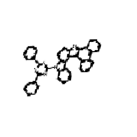 c1ccc(-c2nc(-c3ccccc3)nc(-n3c4ccccc4c4c5c(ccc43)oc3c4ccccc4c4ccccc4c35)n2)cc1